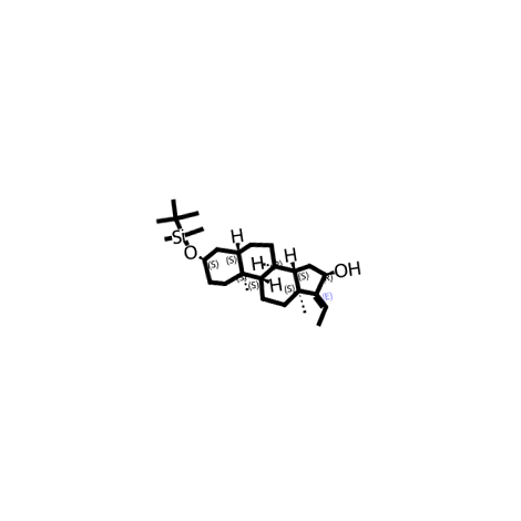 C/C=C1/[C@H](O)C[C@H]2[C@@H]3CC[C@H]4C[C@@H](O[Si](C)(C)C(C)(C)C)CC[C@]4(C)[C@H]3CC[C@]12C